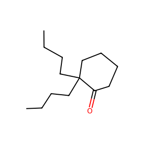 CCCCC1(CCCC)CCCCC1=O